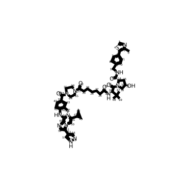 Cc1ncsc1-c1ccc(CNC(=O)[C@@H]2C[C@@H](O)CN2C(=O)[C@@H](NC(=O)CCCCCC(=O)N2CCN(C(=O)c3ccc(Nc4nc(C5CC5)cn5c(-c6cn[nH]c6)cnc45)c(F)c3)CC2)C(C)(C)C)cc1